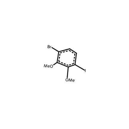 COc1c(Br)ccc(I)c1OC